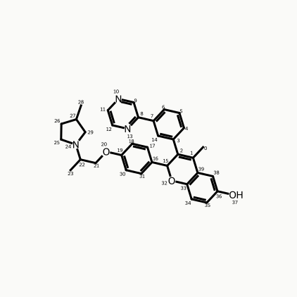 CC1=C(c2cccc(-c3cnccn3)c2)C(c2ccc(OCC(C)N3CCC(C)C3)cc2)Oc2ccc(O)cc21